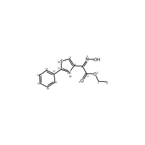 CCOC(=O)/C(=N\O)c1csc(-c2ccccc2)n1